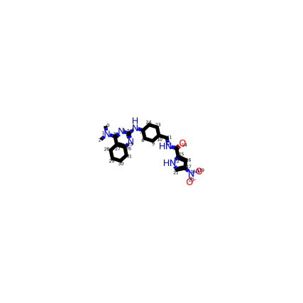 CN(C)c1nc(NC2CCC(CNC(=O)c3cc([N+](=O)[O-])c[nH]3)CC2)nc2c1CCCC2